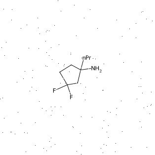 CCCC1(N)CCC(F)(F)C1